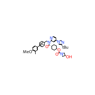 COc1ccc(C23CCC(CN(c4cc(-n5cnc(C(C)(C)C)c5)ccn4)C(=O)[C@H]4CC[C@H](OC(=O)N5CC(O)C5)CC4)(CC2)CC3)cc1C